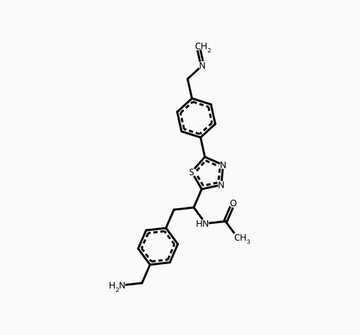 C=NCc1ccc(-c2nnc(C(Cc3ccc(CN)cc3)NC(C)=O)s2)cc1